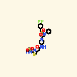 C[C@H](CN(c1ccccc1)S(=O)(=O)CC1CCC(F)(F)CC1)N1CCC(NC(=O)Cc2csc(NS(C)(=O)=O)n2)CC1